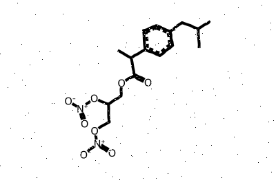 CC(C)Cc1ccc(C(C)C(=O)OCC(CO[N+](=O)[O-])O[N+](=O)[O-])cc1